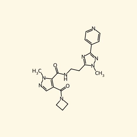 Cn1nc(-c2ccncc2)nc1CCNC(=O)c1c(C(=O)N2CCC2)cnn1C